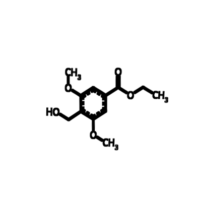 CCOC(=O)c1cc(OC)c(CO)c(OC)c1